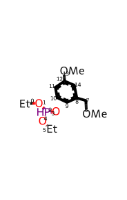 CCO[PH](=O)OCC.COCc1cccc(OC)c1